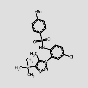 Cc1c([Si](C)(C)C)nnn1-c1cc(Cl)ccc1NS(=O)(=O)c1ccc(C(C)(C)C)cc1